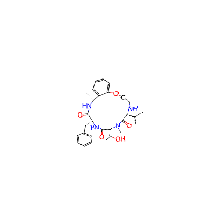 CC(C)[C@@H]1NCCOc2ccccc2[C@@H](C)NC(=O)[C@@H](Cc2ccccc2)NC(=O)[C@H](C(C)O)N(C)C1=O